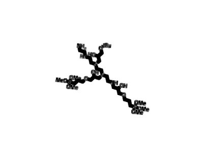 CO[Si](CCCOCC(O)CNCCN(CCN(CCNCCN)CC(O)COC(C)(C)C)CC(O)COCCC[Si](OC)(OC)OC)(OC)OC